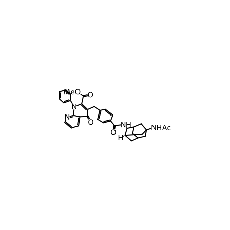 COC(=O)c1c(Cc2ccc(C(=O)NC3C4CC5C[C@@H]3CC(NC(C)=O)(C5)C4)cc2)c(=O)c2cccnc2n1-c1ccccc1